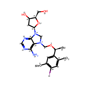 COc1cc([C@@H](OCN2CN([C@H]3CC(O)[C@@H](CO)O3)c3ncnc(N)c32)C(C)(C)C)c([N+](=O)[O-])cc1I